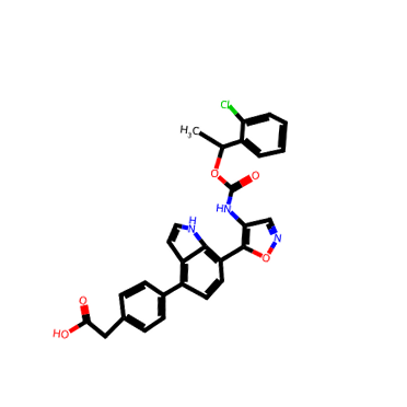 CC(OC(=O)Nc1cnoc1-c1ccc(-c2ccc(CC(=O)O)cc2)c2cc[nH]c12)c1ccccc1Cl